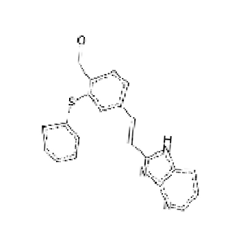 O=Cc1ccc(C=Cc2nc3ncccc3[nH]2)cc1Sc1ccccc1